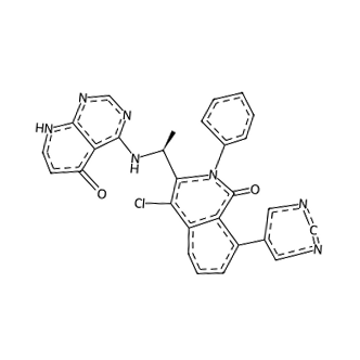 C[C@H](Nc1ncnc2[nH]ccc(=O)c12)c1c(Cl)c2cccc(-c3cncnc3)c2c(=O)n1-c1ccccc1